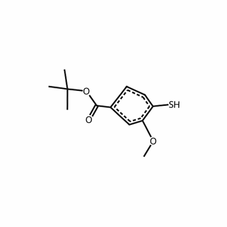 COc1cc(C(=O)OC(C)(C)C)ccc1S